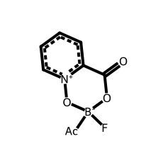 CC(=O)[B-]1(F)OC(=O)c2cccc[n+]2O1